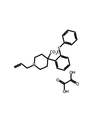 C=CCN1CCC(C(=O)OCC)(c2ccccc2Sc2ccccc2)CC1.O=C(O)C(=O)O